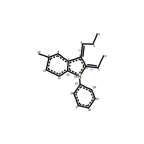 C/C=c1\c(=C/CC)c2cc(C)ccc2n1-c1ccccc1